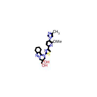 COc1nc(-c2csc(N3CC(O)(CO)Cn4nc5c(c43)CCCC5)n2)ccc1-n1cnc(C)c1